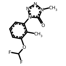 Cc1c(OC(F)F)cccc1-n1nnn(C)c1=O